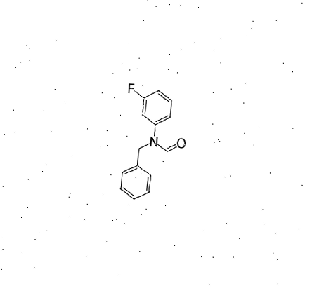 O=CN(Cc1ccccc1)c1cccc(F)c1